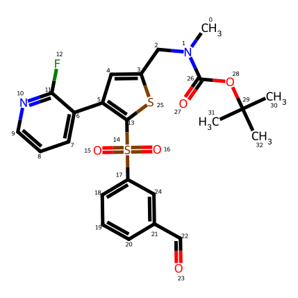 CN(Cc1cc(-c2cccnc2F)c(S(=O)(=O)c2cccc(C=O)c2)s1)C(=O)OC(C)(C)C